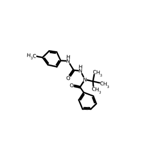 Cc1ccc(NC(=O)NN(C(=O)c2ccccc2)C(C)(C)C)cc1